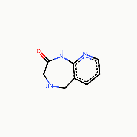 O=C1CNCc2cccnc2N1